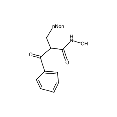 CCCCCCCCCCC(C(=O)NO)C(=O)c1ccccc1